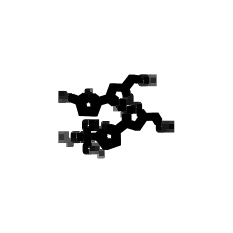 OCC1CC(c2ccc(Br)s2)=NO1.[CH3][Sn]([CH3])([CH3])[c]1ccc(C2=NOC(CO)C2)s1